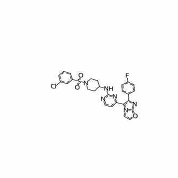 O=S(=O)(c1cccc(Cl)c1)N1CCC(Nc2nccc(-c3c(-c4ccc(F)cc4)nc4occn34)n2)CC1